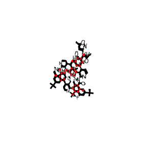 Cc1cc(Nc2cc(-c3ccnc(-n4ncc5cc(C(C)(C)C)cc(F)c5c4=O)c3COP(OCc3c(-c4cc(Nc5cc(C)on5)c(=O)n(C)c4)ccnc3-n3ncc4cc(C(C)(C)C)cc(F)c4c3=O)OCc3c(-c4cc(Nc5cc(C)on5)c(=O)n(C)c4)ccnc3-n3ncc4cc(C(C)(C)C)cc(F)c4c3=O)cn(C)c2=O)no1